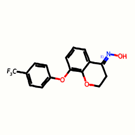 O/N=C1\CCOc2c(Oc3ccc(C(F)(F)F)cc3)cccc21